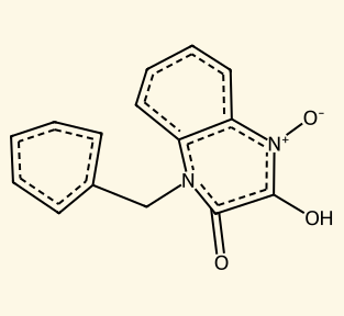 O=c1c(O)[n+]([O-])c2ccccc2n1Cc1ccccc1